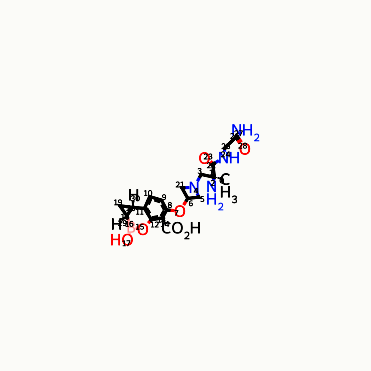 C[C@](N)(CN1CC(Oc2ccc3c(c2C(=O)O)OB(O)[C@@H]2C[C@H]32)C1)C(=O)NCC(N)=O